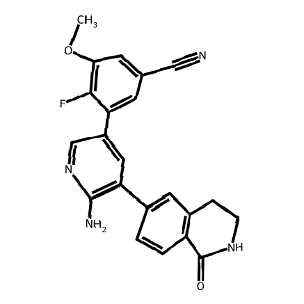 COc1cc(C#N)cc(-c2cnc(N)c(-c3ccc4c(c3)CCNC4=O)c2)c1F